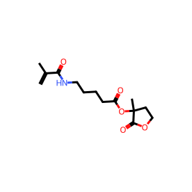 C=C(C)C(=O)NCCCCC(=O)OC1(C)CCOC1=O